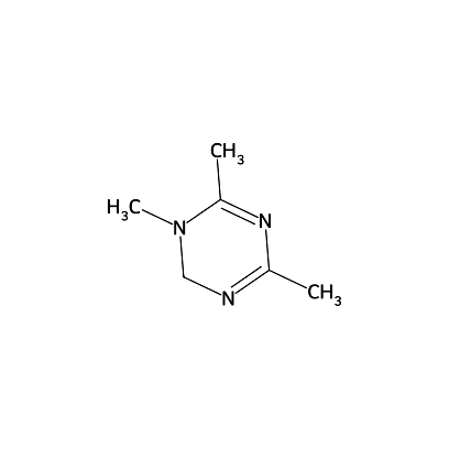 CC1=NCN(C)C(C)=N1